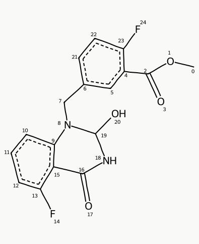 COC(=O)c1cc(CN2c3cccc(F)c3C(=O)NC2O)ccc1F